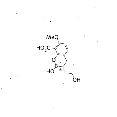 COc1ccc2c(c1C(=O)O)OB(O)[C@@H](CCO)C2